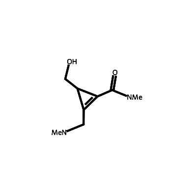 CNCC1=C(C(=O)NC)C1CO